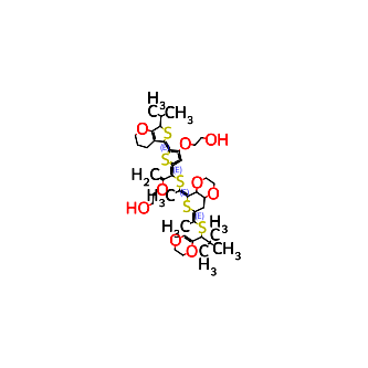 C=C(OCCO)/C(S/C(C)=C1/S/C(=C(\C)SC(C2=COCCO2)C(C)(C)C)CC2OCCOC12)=c1/cc(OCCO)/c(=C2\SC(C(C)C)C3=C2CCCO3)s1